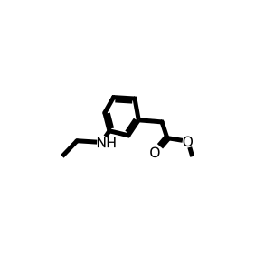 CCNc1cccc(CC(=O)OC)c1